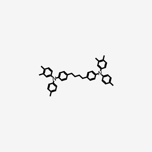 Cc1ccc(N(c2ccc(CCCCc3ccc(N(c4ccc(C)cc4)c4ccc(C)c(C)c4)cc3)cc2)c2ccc(C)c(C)c2)cc1